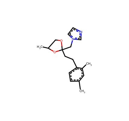 Cc1ccc(CCC2(Cn3ccnc3)OCC(C)O2)c(C)c1